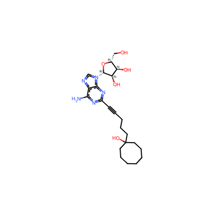 Nc1nc(C#CCCCC2(O)CCCCCCC2)nc2c1ncn2[C@@H]1O[C@H](CO)[C@@H](O)[C@H]1O